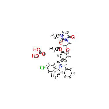 CCC(c1ccc(Cl)cc1)N(Cc1ccc(OCCn2c(=O)ccn(C)c2=O)c(OC)c1)CC1CCCCC1.O=C(O)O